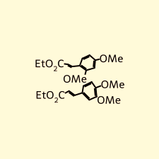 CCOC(=O)C=Cc1ccc(OC)c(OC)c1.CCOC(=O)C=Cc1ccc(OC)cc1OC